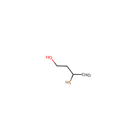 O=CC(S)CCO